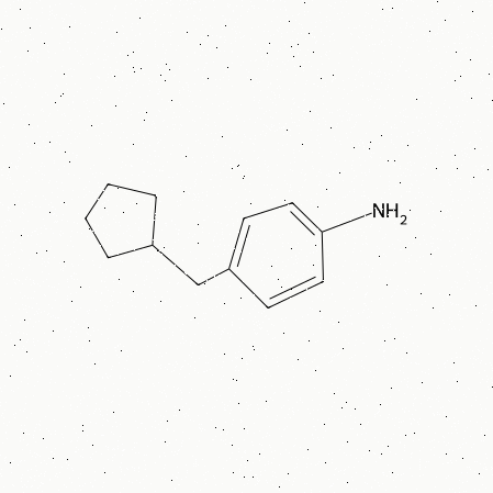 Nc1ccc(CC2CCCC2)cc1